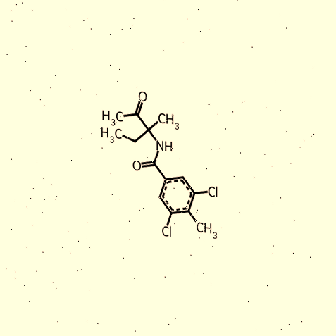 CCC(C)(NC(=O)c1cc(Cl)c(C)c(Cl)c1)C(C)=O